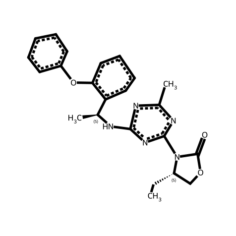 CC[C@H]1COC(=O)N1c1nc(C)nc(N[C@@H](C)c2ccccc2Oc2ccccc2)n1